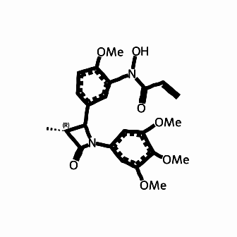 C=CC(=O)N(O)c1cc(C2[C@@H](C)C(=O)N2c2cc(OC)c(OC)c(OC)c2)ccc1OC